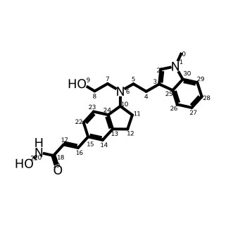 Cn1cc(CCN(CCO)C2CCc3cc(/C=C/C(=O)NO)ccc32)c2ccccc21